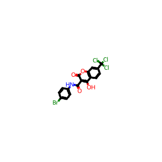 O=C(Nc1ccc(Br)cc1)c1c(O)c2ccc(C(Cl)(Cl)Cl)cc2oc1=O